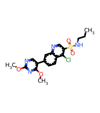 CCCNS(=O)(=O)c1cnc2cc(-c3cnc(OC)nc3OC)ccc2c1Cl